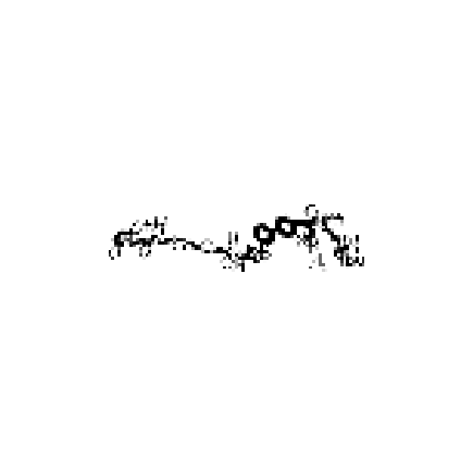 CCCN(CCCNC(=O)OC(C)(C)C)C(=O)C1=Cc2ccc(-c3cccc(SN4CC(CNC(O)CCOCCOCCNC(=O)CCN5C(=O)C=CC5O)C4)c3)cc2N=C(N)C1